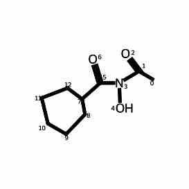 CC(=O)N(O)C(=O)C1CCCCC1